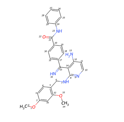 COc1ccc(CNc2nccc(N)c2C(=N)c2ccc(C(=O)Nc3ccccc3)cc2)c(OC)c1